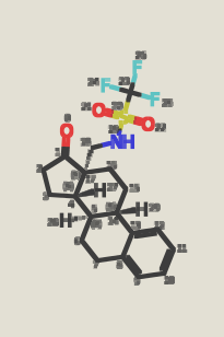 O=C1CC[C@H]2[C@@H]3CCc4ccccc4[C@H]3CC[C@]12CNS(=O)(=O)C(F)(F)F